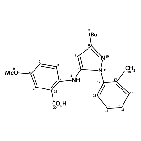 COc1ccc(Nc2cc(C(C)(C)C)nn2-c2ccccc2C)c(C(=O)O)c1